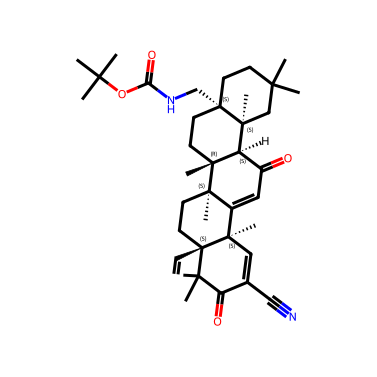 C=C[C@@]12CC[C@]3(C)C(=CC(=O)[C@@H]4[C@]5(C)CC(C)(C)CC[C@]5(CNC(=O)OC(C)(C)C)CC[C@]43C)[C@@]1(C)C=C(C#N)C(=O)C2(C)C